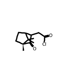 CC1(C)C2CC[C@@]1(C)C(=O)C2CC(=O)Cl